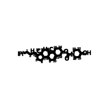 CC(C)CCCC1CCC2C3CC=C4C[C@H](OC(=O)N5CCC(O)CC5)CC[C@@]4(C)C3CC[C@@]12C